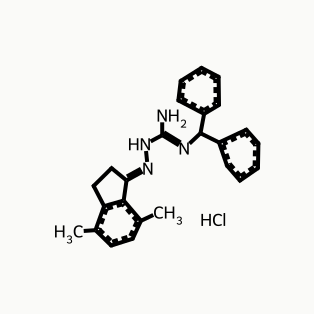 Cc1ccc(C)c2c1CCC2=NNC(N)=NC(c1ccccc1)c1ccccc1.Cl